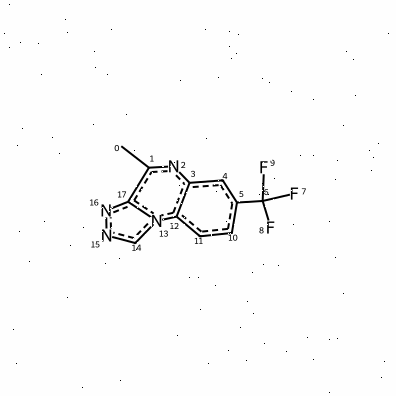 Cc1nc2cc(C(F)(F)F)ccc2n2cnnc12